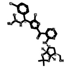 CC1(C)O[C@@H]2[C@@H](CO)C[C@@H](Nc3ncncc3C(=O)c3cc([C@@H](N[S+]([O-])C(C)(C)C)c4cccc(Cl)c4)c(Cl)s3)[C@@H]2O1